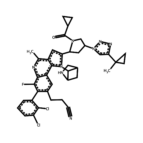 Cc1nc2c(F)c(-c3cccc(Cl)c3Cl)c(CCC#N)cc2c2c1cc(C1CC(n3cc(C4(C)CC4)nn3)CN1C(=O)C1CC1)n2C1C2CNC1C2